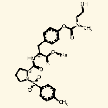 Cc1ccc(S(=O)(=O)N2CCC[C@H]2C(=O)N[C@@H](Cc2ccc(OC(=O)N(C)CCO)cc2)C(=O)OC(C)(C)C)cc1